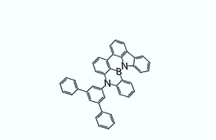 c1ccc(-c2cc(-c3ccccc3)cc(N3c4ccccc4B4c5c(cccc53)-c3cccc5c6ccccc6n4c35)c2)cc1